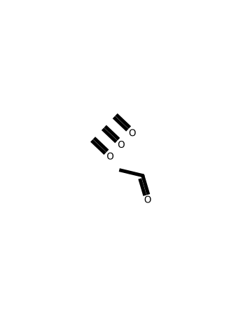 C=O.C=O.C=O.CC=O